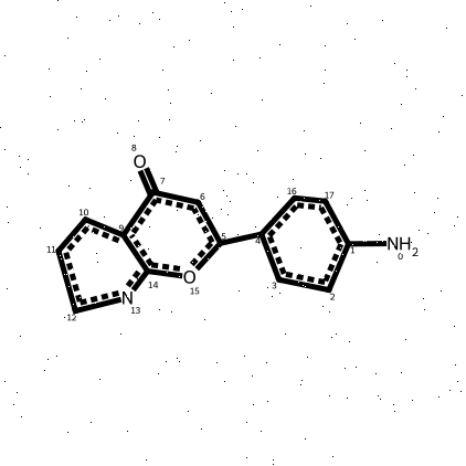 Nc1ccc(-c2cc(=O)c3cccnc3o2)cc1